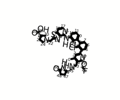 Cc1cc(-c2cccc(-c3cccc(Nc4nccc5sc(CN6CC[C@H](C(=O)O)C6)nc45)c3Cl)c2Cl)nc(OCF)c1CNC[C@@H]1CCC(=O)N1